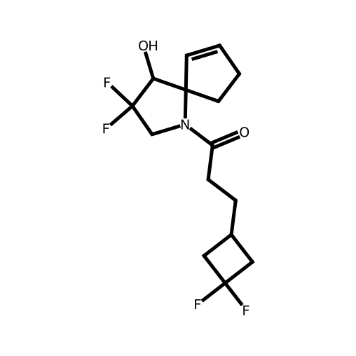 O=C(CCC1CC(F)(F)C1)N1CC(F)(F)C(O)C12C=CCC2